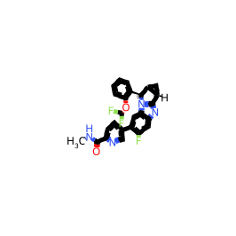 CNC(=O)c1ccc(-c2cc3c(cc2F)nc2n3[C@@H](c3ccccc3OC(F)F)C3C[C@@H]23)cn1